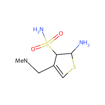 CNCC1=CSC(N)C1S(N)(=O)=O